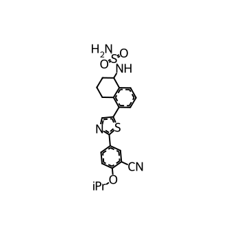 CC(C)Oc1ccc(-c2ncc(-c3cccc4c3CCCC4NS(N)(=O)=O)s2)cc1C#N